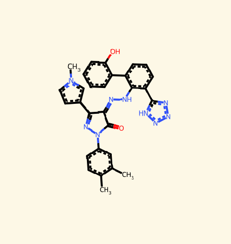 Cc1ccc(N2N=C(c3ccn(C)c3)C(=NNc3c(-c4nnn[nH]4)cccc3-c3ccccc3O)C2=O)cc1C